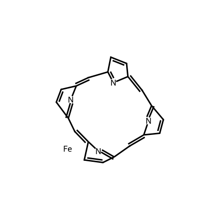 C1=CC2=NC1=CC1=NC(=CC3=NC(=CC4=NC(=C2)C=C4)C=C3)C=C1.[Fe]